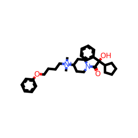 C[N+](C)(CCCCOc1ccccc1)C1CCN(C(=O)C(O)(c2ccccc2)C2CCCC2)CC1